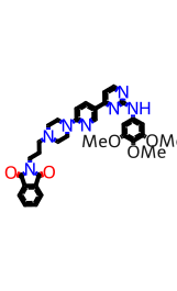 COc1cc(Nc2nccc(-c3ccc(N4CCN(CCCN5C(=O)c6ccccc6C5=O)CC4)nc3)n2)cc(OC)c1OC